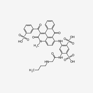 CCCCNCC(=O)Nc1cc(Nc2ccc3c4c2C(=O)c2ccccc2-c4c(C(=O)c2cccc(S(=O)(=O)O)c2)c(=O)n3C)c(S(=O)(=O)O)cc1S(=O)(=O)O